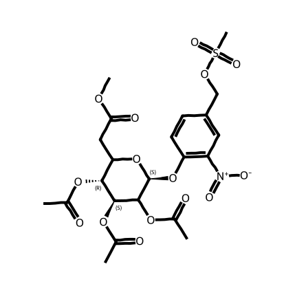 COC(=O)CC1O[C@@H](Oc2ccc(COS(C)(=O)=O)cc2[N+](=O)[O-])C(OC(C)=O)[C@@H](OC(C)=O)[C@@H]1OC(C)=O